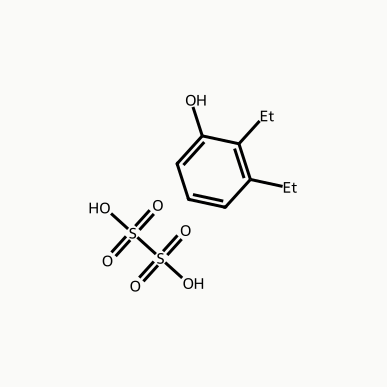 CCc1cccc(O)c1CC.O=S(=O)(O)S(=O)(=O)O